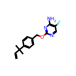 C=CC(C)(C)c1ccc(COc2ncc(F)c(N)n2)cc1